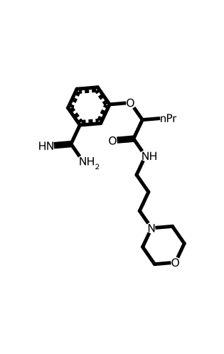 CCCC(Oc1cccc(C(=N)N)c1)C(=O)NCCCN1CCOCC1